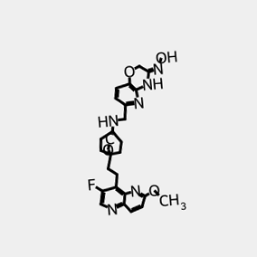 COc1ccc2ncc(F)c(CCC34CCC(NCc5ccc6c(n5)N/C(=N/O)CO6)(CC3)CO4)c2n1